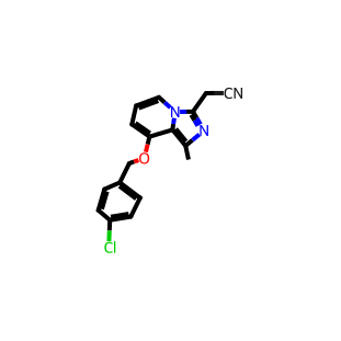 Cc1nc(CC#N)n2cccc(OCc3ccc(Cl)cc3)c12